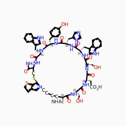 CC(=O)N[C@H]1CCCCn2cc3ccsc3c2SCC(C(N)=O)NC(=O)[C@H](Cc2c[nH]c3ccccc23)NC(=O)[C@H](Cc2ccc(O)cc2)NC(=O)[C@H](Cc2cnc[nH]2)NC(=O)[C@H](Cc2c[nH]c3ccccc23)NC(=O)[C@H](CO)NC(=O)[C@H](CC(=O)O)NC(=O)[C@H](CO)NC1=O